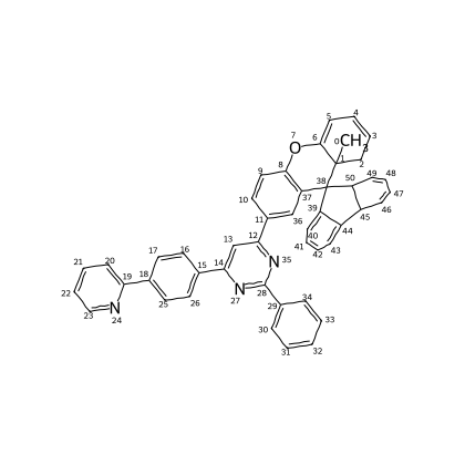 CC12CC=CC=C1Oc1ccc(-c3cc(-c4ccc(-c5ccccn5)cc4)nc(-c4ccccc4)n3)cc1C21c2ccccc2C2C=CC=CC21